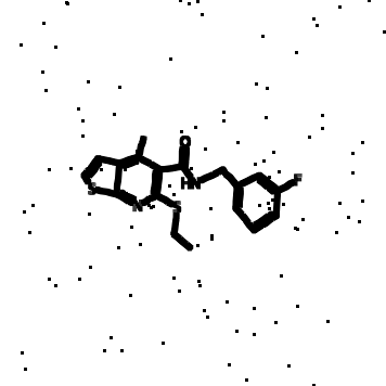 CCSc1nc2sccc2c(C)c1C(=O)NCc1cccc(F)c1